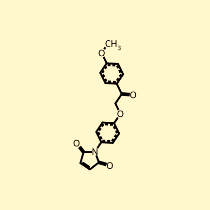 COc1ccc(C(=O)COc2ccc(N3C(=O)C=CC3=O)cc2)cc1